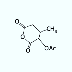 CC(=O)OC1C(=O)OC(=O)CC1C